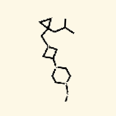 CSN1CCN(C2CN(CC3(CC(C)C)CC3)C2)CC1